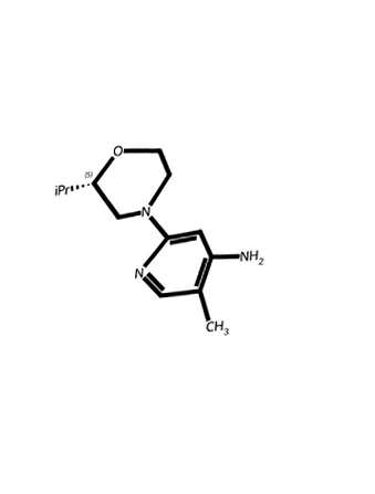 Cc1cnc(N2CCO[C@@H](C(C)C)C2)cc1N